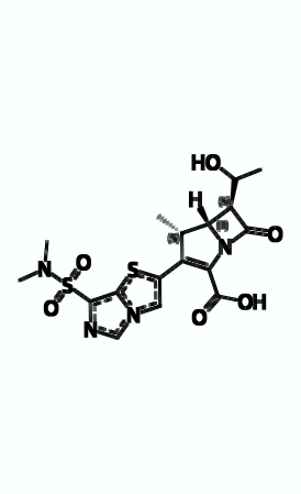 CC(O)[C@H]1C(=O)N2C(C(=O)O)=C(c3cn4cnc(S(=O)(=O)N(C)C)c4s3)[C@H](C)[C@H]12